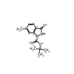 Cc1ccc2c(=O)[nH]n(C(=O)OC(C)(C)C)c2c1